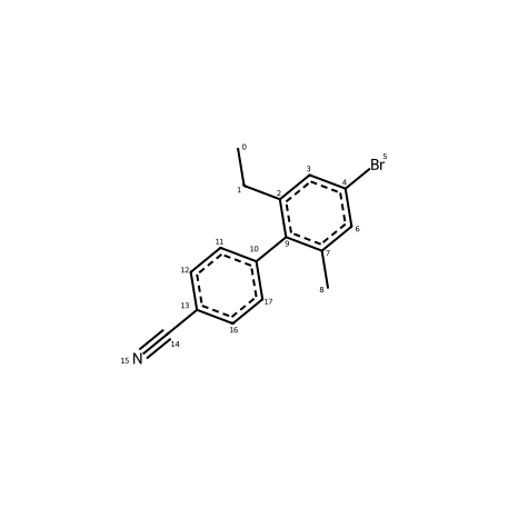 CCc1cc(Br)cc(C)c1-c1ccc(C#N)cc1